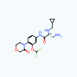 NC[C@@H](NCC1CC1)C(=O)Nc1ccc(N2CCOCC2=O)c(OC(F)F)c1